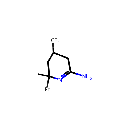 CCC1(C)CC(C(F)(F)F)CC(N)=N1